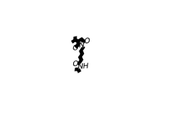 CC(C)NC(=O)CCCCCN1C(=O)CC(C(C)C)C1=O